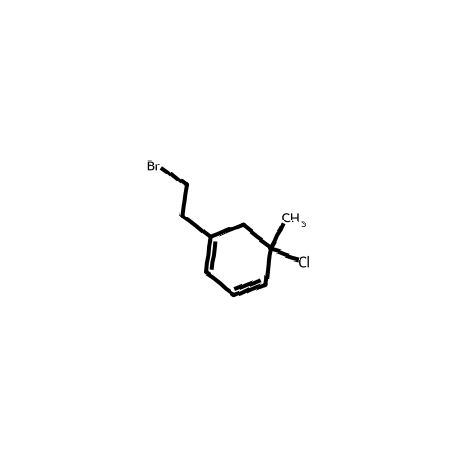 CC1(Cl)C=CC=C(CCBr)C1